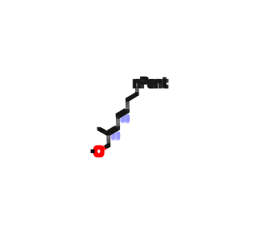 CCCCCCC/C=C/C=C(\C)C[O]